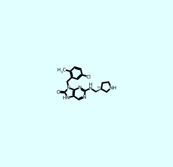 Cc1ccc(Cl)cc1Cn1c(=O)[nH]c2cnc(NC[C@H]3CCNC3)nc21